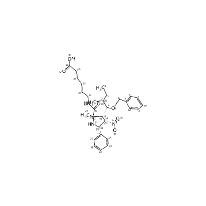 CC[C@H](C)C(OCc1ccccc1)[C@@H]1[C@H]([N+](=O)[O-])[C@H](c2ccccc2)N[C@]1(C)C(=O)NCCCCCC(=O)O